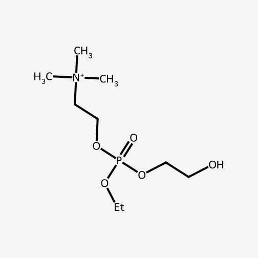 CCOP(=O)(OCCO)OCC[N+](C)(C)C